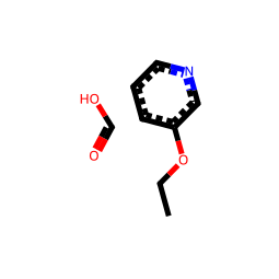 CCOc1cccnc1.O=CO